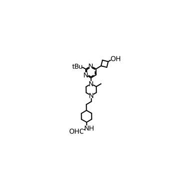 CC1CN(CCC2CCC(NC=O)CC2)CCN1c1cc(C2CC(O)C2)nc(C(C)(C)C)n1